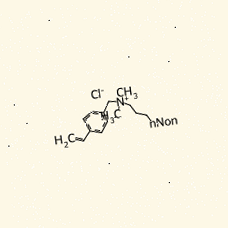 C=Cc1ccc(C[N+](C)(C)CCCCCCCCCCCC)cc1.[Cl-]